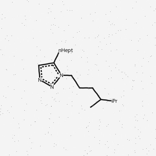 CCCCCCCc1cnnn1CCCC(C)C(C)C